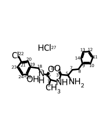 CC(NC(=O)C(N)CCc1ccccc1)C(=O)NCc1cc(Cl)ccc1O.Cl